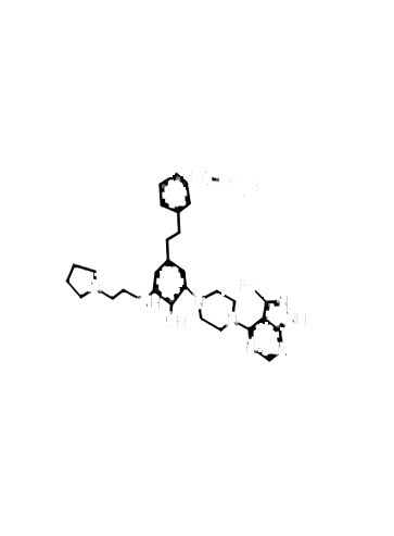 CC(=O)O.Cc1c(NCCN2CCCC2)cc(CCc2ccccc2)cc1N1CCN(c2ncnc3[nH]nc(Br)c23)CC1